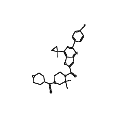 CC1(c2cc(-c3ccc(F)cc3)nc3cc(C(=O)N4CCN(C(=O)C5CCOCC5)CC4(C)C)oc23)CC1